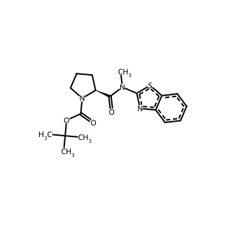 CN(C(=O)[C@@H]1CCCN1C(=O)OC(C)(C)C)c1nc2ccccc2s1